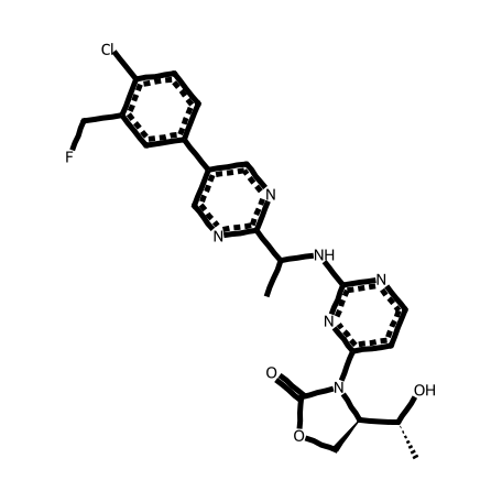 CC(Nc1nccc(N2C(=O)OC[C@@H]2[C@@H](C)O)n1)c1ncc(-c2ccc(Cl)c(CF)c2)cn1